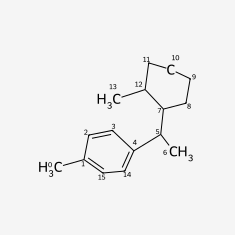 Cc1ccc(C(C)C2CCCCC2C)cc1